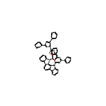 c1ccc(-c2cc(-c3ccccc3)cc(-c3nc4cccc(-n5c6ccccc6c6ccc7c8ccccc8n(-c8nc(-c9ccccc9)nc(-c9ccccc9)n8)c7c65)c4s3)c2)cc1